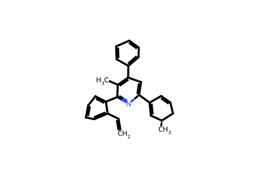 C=Cc1ccccc1-c1nc(C2=C[C@H](C)CC=C2)cc(-c2ccccc2)c1C